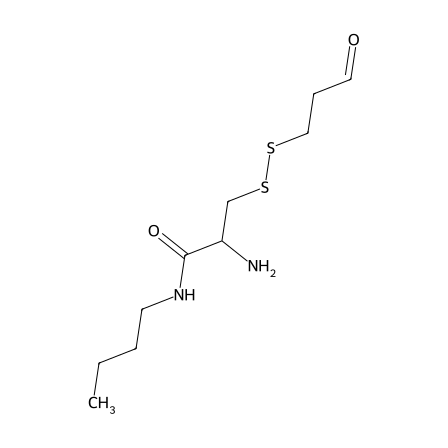 CCCCNC(=O)C(N)CSSCCC=O